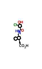 O=C(O)C#Cc1ccc(/C=N/NC(=O)c2ccc(O)c(Cl)c2)c2ccccc12